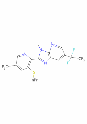 CCCSc1cc(C(F)(F)F)cnc1-c1nc2cc(C(F)(F)C(F)(F)F)cnc2n1C